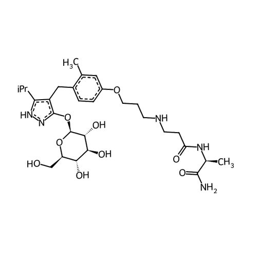 Cc1cc(OCCCNCCC(=O)N[C@@H](C)C(N)=O)ccc1Cc1c(O[C@@H]2O[C@H](CO)[C@@H](O)[C@H](O)[C@H]2O)n[nH]c1C(C)C